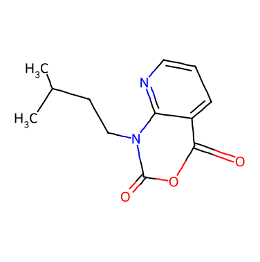 CC(C)CCn1c(=O)oc(=O)c2cccnc21